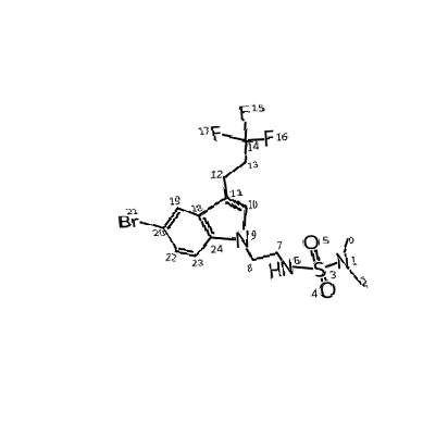 CN(C)S(=O)(=O)NCCn1cc(CCC(F)(F)F)c2cc(Br)ccc21